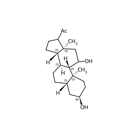 CC(=O)C1CC[C@H]2[C@@H]3CC[C@H]4C[C@H](O)CC[C@]4(C)[C@H]3C(O)C[C@]12C